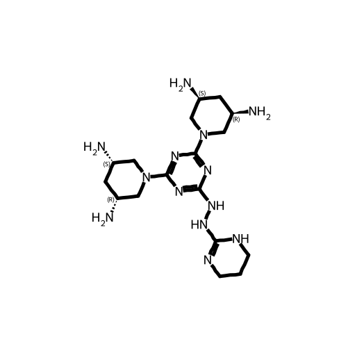 N[C@@H]1C[C@H](N)CN(c2nc(NNC3=NCCCN3)nc(N3C[C@H](N)C[C@H](N)C3)n2)C1